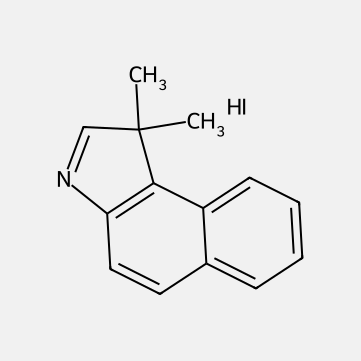 CC1(C)C=Nc2ccc3ccccc3c21.I